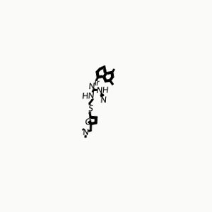 Cc1cc(C)c2ccc[c]([Ir][N]=C(NC#N)NCCSCc3ccc(CN(C)C)o3)c2c1